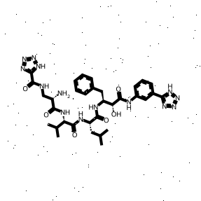 CC(C)C[C@H](NC(=O)[C@@H](NC(=O)[C@@H](N)CNC(=O)c1nnn[nH]1)C(C)C)C(=O)N[C@@H](Cc1ccccc1)[C@@H](O)C(=O)Nc1cccc(-c2nnn[nH]2)c1